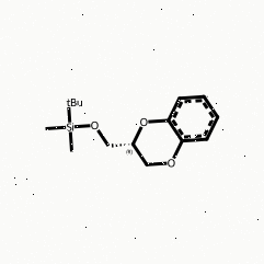 CC(C)(C)[Si](C)(C)OC[C@H]1COc2cc[c]cc2O1